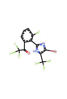 O=C(c1cccc(F)c1-c1nc(Br)c(C(F)(F)F)[nH]1)C(F)(F)F